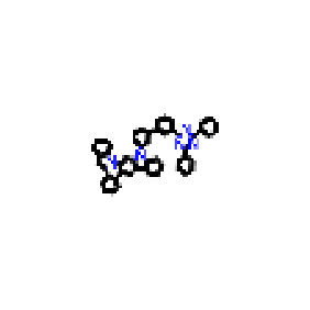 c1ccc(-c2nc(-c3ccccc3)nc(-c3cccc(-c4cccc(-n5c6ccccc6c6cc7c8ccccc8c8cc9ccccc9n8c7cc65)c4)c3)n2)cc1